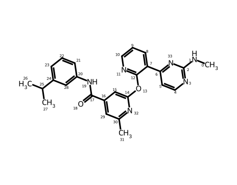 CNc1nccc(-c2cccnc2Oc2cc(C(=O)Nc3cccc(C(C)C)c3)cc(C)n2)n1